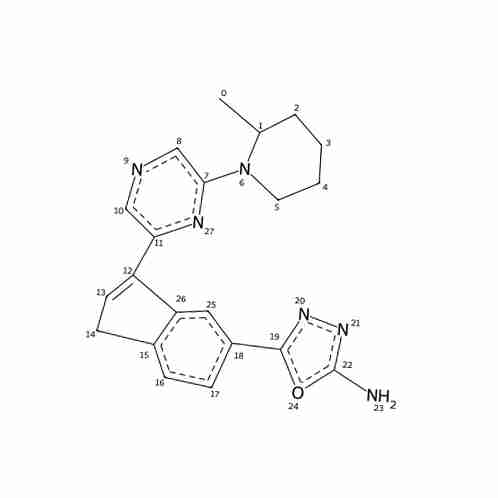 CC1CCCCN1c1cncc(C2=CCc3ccc(-c4nnc(N)o4)cc32)n1